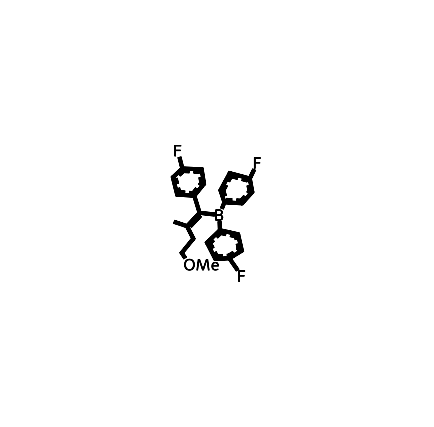 COCC/C(C)=C(\B(c1ccc(F)cc1)c1ccc(F)cc1)c1ccc(F)cc1